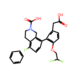 O=C(O)Cc1ccc(OCC(F)F)c(-c2ccc(F)c3c2CN(C(=O)O)CC3)c1.c1ccccc1